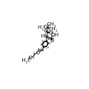 COCCON=Cc1ccc(N(NC(=O)OC(C)(C)C)C(=O)O)cc1